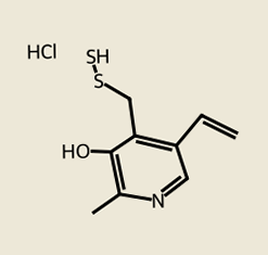 C=Cc1cnc(C)c(O)c1CSS.Cl